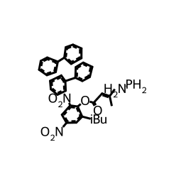 CCC(C)c1cc([N+](=O)[O-])cc([N+](=O)[O-])c1OC(=O)C=C(C)C.NP.c1ccc(-c2ccccc2)cc1.c1ccc(-c2ccccc2)cc1